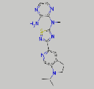 CC(C)N1CCc2cc(-c3nsc(N(C)c4nccnc4N)n3)ncc21